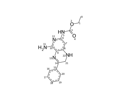 CCOC(=O)Nc1cc2c(c(N)n1)N=C(c1ccccc1)CN2